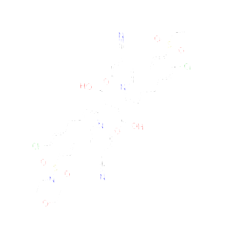 CCS(=O)(=O)c1ccc(Cc2c(C)c(C(C(=O)O)C(C(=O)O)c3c(C)c(Cc4ccc(S(=O)(=O)N5CCOCC5)c(Cl)c4)c4cc(C#N)ccn34)n3ccc(C#N)cc23)cc1Cl